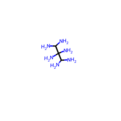 NC(N)C(N)(N)C(N)N